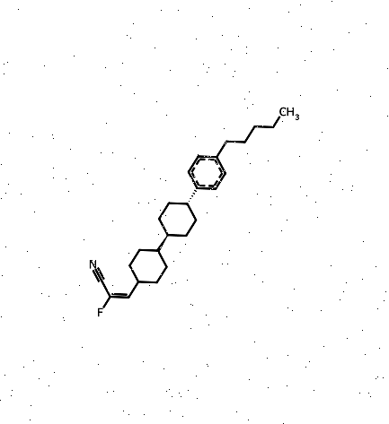 CCCCCc1ccc([C@H]2CC[C@H](C3CCC(/C=C(/F)C#N)CC3)CC2)cc1